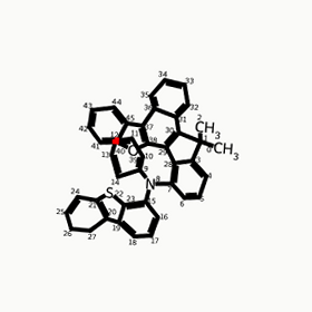 CC1(C)c2cccc(N(c3ccccc3)c3cccc4c5c(sc34)C=CCC5)c2-c2c1c1ccccc1c1c2oc2ccccc21